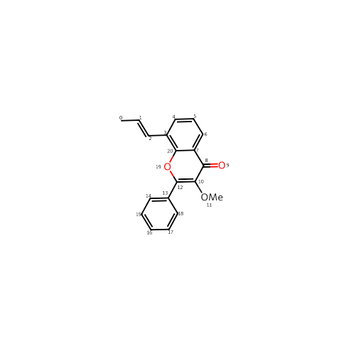 C/C=C/c1cccc2c(=O)c(OC)c(-c3ccccc3)oc12